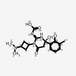 CN(C)C1CC(N2C(=O)C[C@@](C)(c3cccc(I)c3Cl)N/C2=N\C(=O)O)C1